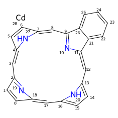 C1=Cc2cc3ccc(cc4nc(cc5ccc(cc1n2)[nH]5)-c1ccccc1-4)[nH]3.[Cd]